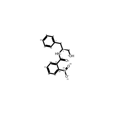 O=C(N[C@H](CO)Cc1ccccc1)c1ccccc1[N+](=O)[O-]